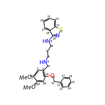 COc1cc(CNCCCNc2nsc3ccccc23)c(OCc2ccccc2)cc1OC